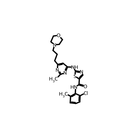 Cc1nc(CCCN2CCOCC2)cc(Nc2ncc(C(=O)Nc3c(C)cccc3Cl)s2)n1